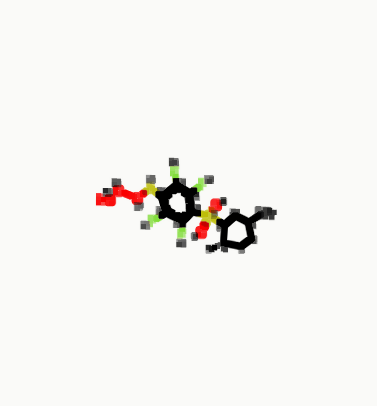 CC(C)[C@H]1CC[C@H](C)C(S(=O)(=O)c2c(F)c(F)c(SOOO)c(F)c2F)C1